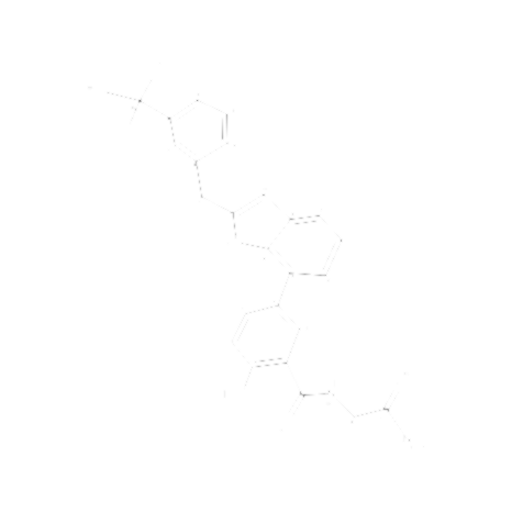 Cc1ccc(-c2cccc3cc(Cc4cccc(C(F)(F)F)c4)sc23)cc1C(=O)NCC(N)=O